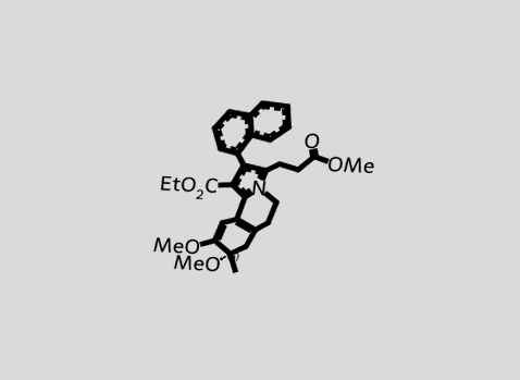 CCOC(=O)c1c(-c2cccc3ccccc23)c(CCC(=O)OC)n2c1C1=C(CC2)C[C@](C)(OC)C(OC)=C1